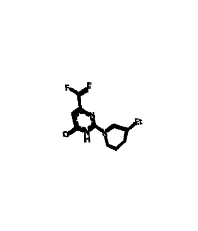 CCC1CCCN(c2nc(C(F)F)cc(=O)[nH]2)C1